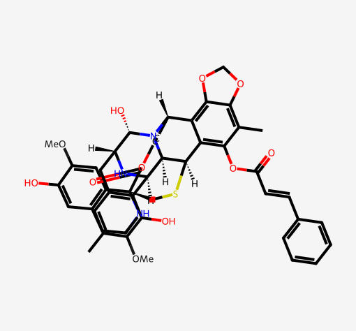 COc1cc2c(cc1O)CCN[C@]21CS[C@@H]2c3c(OC(=O)/C=C/c4ccccc4)c(C)c4c(c3[C@H](CCOC1=O)N1[C@@H]2[C@@H]2N[C@H](Cc3cc(C)c(OC)c(O)c32)[C@@H]1O)OCO4